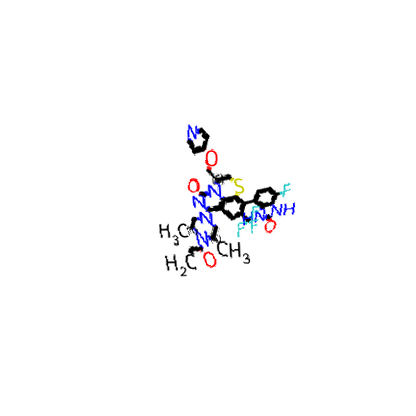 C=CC(=O)N1[C@H](C)CN(c2nc(=O)n3c4c(c(-c5ccc(F)c6[nH]c(=O)[nH]c56)c(C(F)(F)F)cc24)SC[C@@H]3COc2ccncc2)C[C@@H]1C